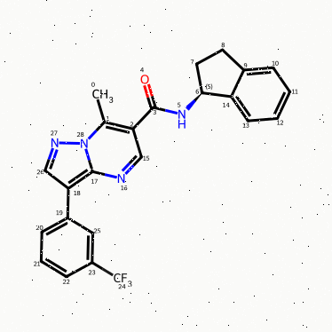 Cc1c(C(=O)N[C@H]2CCc3ccccc32)cnc2c(-c3cccc(C(F)(F)F)c3)cnn12